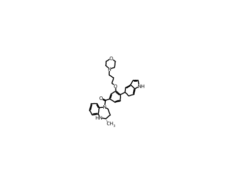 C[C@H]1CCN(C(=O)c2ccc(C3C=c4cc[nH]c4=CC3)c(OCCCN3CCOCC3)c2)c2ccccc2N1